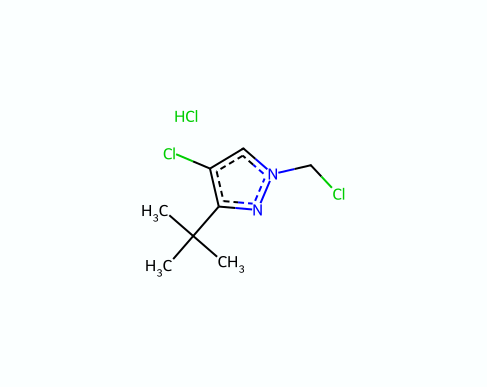 CC(C)(C)c1nn(CCl)cc1Cl.Cl